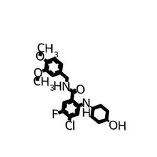 COc1ccc(CNC(=O)c2cc(F)c(Cl)cc2N[C@H]2CC[C@H](O)CC2)cc1OC